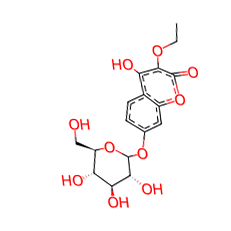 CCOc1c(O)c2ccc(OC3O[C@H](CO)[C@@H](O)[C@H](O)[C@H]3O)cc2oc1=O